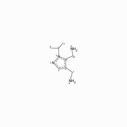 CC(C)n1ncc(CN)c1CN